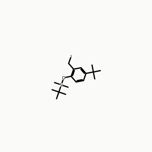 CC(C)(C)c1ccc(O[Si](C)(C)C(C)(C)C)c(CI)c1